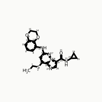 CCSc1cc(Nc2cccc3c2OCCO3)nn2c(C(=O)NC3CC3)cnc12